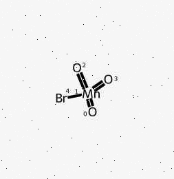 [O]=[Mn](=[O])(=[O])[Br]